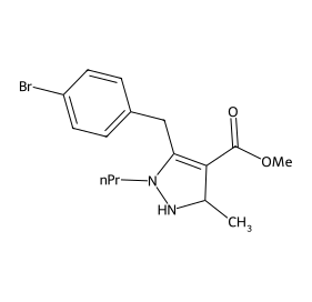 CCCN1NC(C)C(C(=O)OC)=C1Cc1ccc(Br)cc1